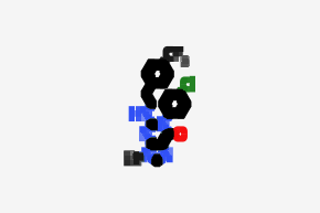 CCn1cnc2c(=O)n(-c3ccc(Cl)cc3)c(NCCc3ccc(C(F)(F)F)cc3)nc21